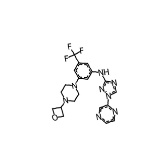 FC(F)(F)c1cc(Nc2ncn(-c3cnccn3)n2)cc(N2CCN(C3COC3)CC2)c1